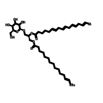 CC/C=C/C/C=C/C/C=C/C/C=C/CCCCC(=O)O[C@@H](COC(=O)CCCCCCCCCCC/C=C/CCCC)CO[C@H]1O[C@@H](CO)[C@@H](O)C(O)C1O